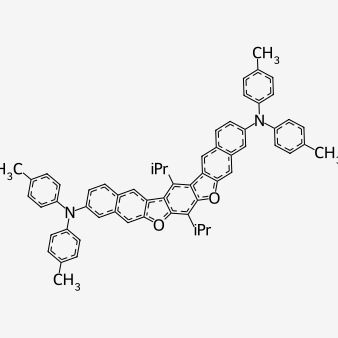 Cc1ccc(N(c2ccc(C)cc2)c2ccc3cc4c(cc3c2)oc2c(C(C)C)c3oc5cc6cc(N(c7ccc(C)cc7)c7ccc(C)cc7)ccc6cc5c3c(C(C)C)c24)cc1